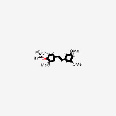 COc1cc(/C=C/c2ccc(O[Si](C(C)C)(C(C)C)C(C)C)c(OC)c2)cc(OC)c1